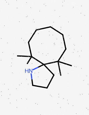 CC1(C)CCCCCC(C)(C)C12CCCN2